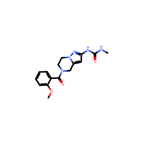 CNC(=O)Nc1cc2n(n1)CCN(C(=O)c1ccccc1OC)C2